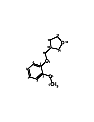 COc1c[c]ccc1OCC1CCOC1